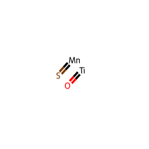 [O]=[Ti].[S]=[Mn]